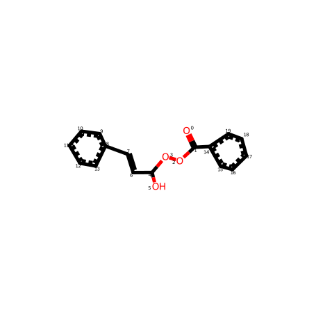 O=C(OOC(O)C=Cc1ccccc1)c1ccccc1